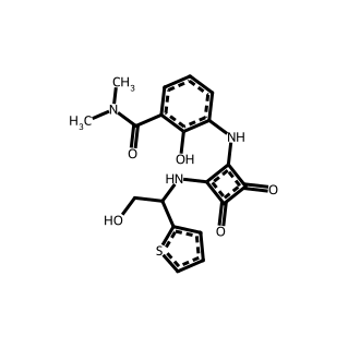 CN(C)C(=O)c1cccc(Nc2c(NC(CO)c3cccs3)c(=O)c2=O)c1O